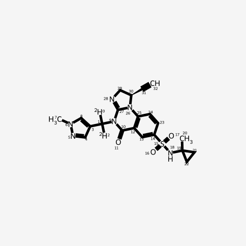 [2H]C([2H])(c1cnn(C)c1)N1C(=O)c2cc(S(=O)(=O)NC3(C)CC3)ccc2N2C1=NC[C@H]2C#C